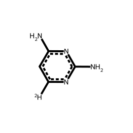 [2H]c1cc(N)nc(N)n1